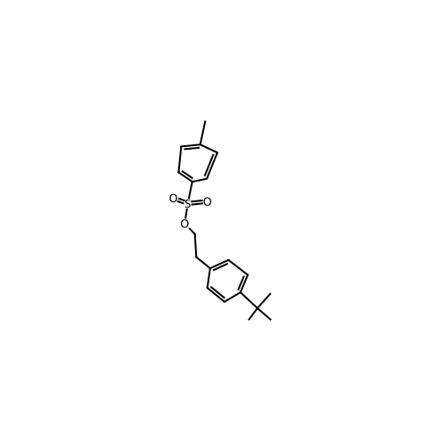 Cc1ccc(S(=O)(=O)OCCc2ccc(C(C)(C)C)cc2)cc1